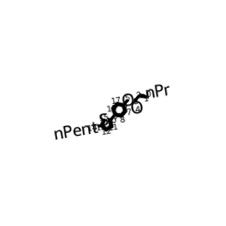 CCC/C=C/C(=O)Oc1ccc(-c2ccc(CCCCC)s2)cc1